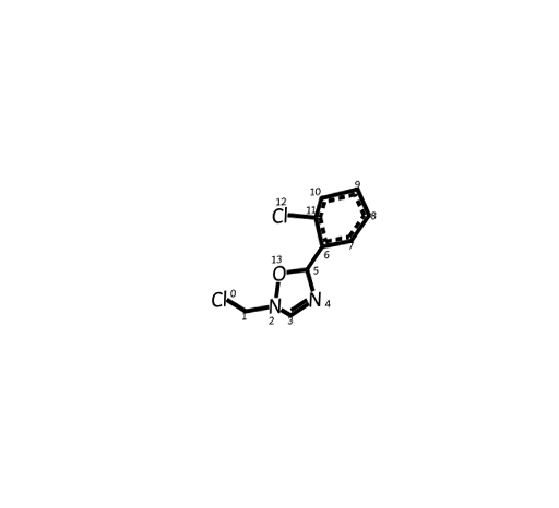 ClCN1C=NC(c2ccccc2Cl)O1